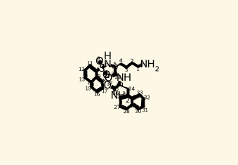 NCCCC[C@H](NS(=O)(=O)c1cccc2ccccc12)C(=O)N[C@@H](Cc1cccc2ccccc12)C(N)=O